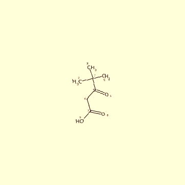 CC(C)(C)C(=O)CC(=O)O